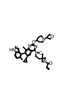 C=CC(=O)N1CC2(CCN(c3nc(OC4CCN(C5COC5)CC4)nc4c(C)c(-c5c(C)ccc6[nH]ncc56)c(C5CC5)cc34)CC2)C1